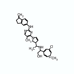 C=C1CCc2cc(Nc3ncc(C)c(N4C=CC(C(C)NC(CO)C5=CC(Cl)=C[C@H](C)C=C5)C4)n3)ccc21